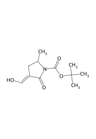 CC1CC(=CO)C(=O)N1C(=O)OC(C)(C)C